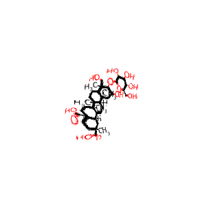 C[C@@]1(C(=O)O)CC[C@]2(C(=O)O)CC[C@]3(C)C(=CC[C@@H]4[C@@]5(C)C[C@H](O)[C@H](O[C@@H]6O[C@H](CO)[C@@H](O)[C@H](O)[C@H]6O)[C@@](C)(CO)C5CC[C@]43C)[C@H]2C1